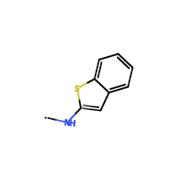 [CH2]Nc1cc2ccccc2s1